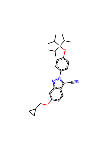 CC(C)[Si](Oc1ccc(-n2nc3cc(OCC4CC4)ccc3c2C#N)cc1)(C(C)C)C(C)C